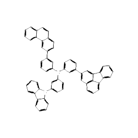 c1cc(-c2cc3c4c(cccc4c2)-c2ccccc2-3)cc(N(c2cccc(-c3ccc4ccc5ccccc5c4c3)c2)c2cccc(-n3c4ccccc4c4ccccc43)c2)c1